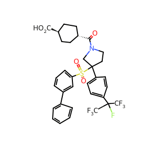 O=C(O)[C@H]1CC[C@H](C(=O)N2CCC(c3ccc(C(F)(C(F)(F)F)C(F)(F)F)cc3)(S(=O)(=O)c3cccc(-c4ccccc4)c3)C2)CC1